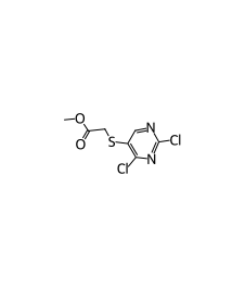 COC(=O)CSc1cnc(Cl)nc1Cl